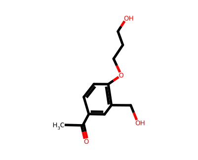 CC(=O)c1ccc(OCCCO)c(CO)c1